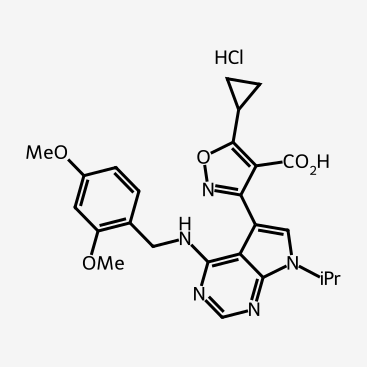 COc1ccc(CNc2ncnc3c2c(-c2noc(C4CC4)c2C(=O)O)cn3C(C)C)c(OC)c1.Cl